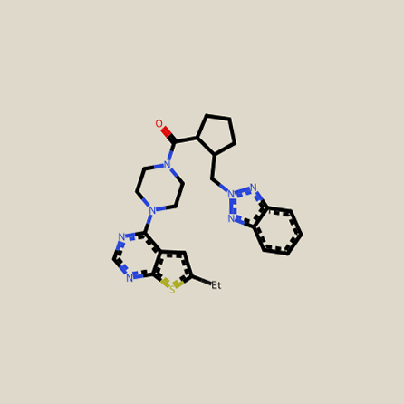 CCc1cc2c(N3CCN(C(=O)C4CCCC4Cn4nc5ccccc5n4)CC3)ncnc2s1